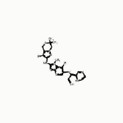 Cn1c(Nc2nn3c(c2F)COC(C)(C)C3)nc2ncc(O/C(C=N)=C3\C=NC=CN3)c(Cl)c21